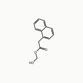 O=C(Cc1cccc2ccccc12)OCO